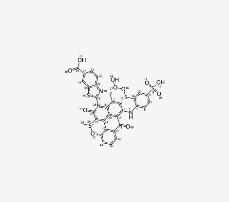 Cc1cc(Nc2ccc(S(=O)(=O)O)cc2SOOO)c2c3c(c([S+](C)[O-])c(=O)n(-c4nc5ccc(C(=O)O)cc5s4)c13)-c1ccccc1C2=O